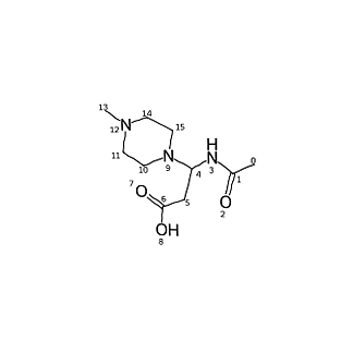 CC(=O)NC(CC(=O)O)N1CCN(C)CC1